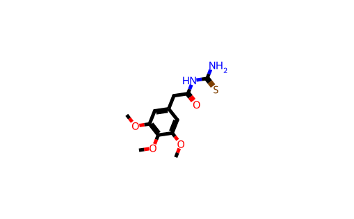 COc1cc(CC(=O)NC(N)=S)cc(OC)c1OC